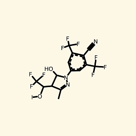 CC1=NN(c2cc(C(F)(F)F)c(C#N)c(C(F)(F)F)c2)C(O)C1C(OI)C(F)(F)F